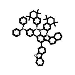 CC1(C)CCC(C)(C)c2cc(N3B4c5cc6c(cc5-n5c7c4c(cc(-c4ccc8c(c4)oc4ccccc48)c7c4ccc7ccccc7c45)-c4ccc(N(c5ccccc5)c5ccccc5)cc43)C(C)(C)CCC6(C)C)ccc21